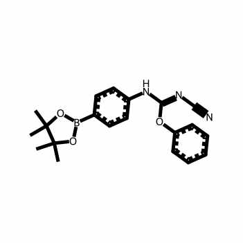 CC1(C)OB(c2ccc(N/C(=N/C#N)Oc3ccccc3)cc2)OC1(C)C